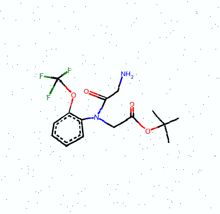 CC(C)(C)OC(=O)CN(C(=O)CN)c1ccccc1OC(F)(F)F